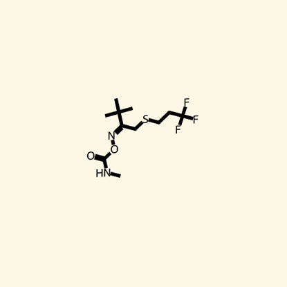 CNC(=O)ON=C(CSCCC(F)(F)F)C(C)(C)C